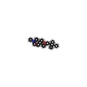 c1ccc(-c2c3ccccc3c(-c3ccc4oc5c(-c6c7ccccc7c(-c7cccc8c7c7ccccc7n8-c7ccccc7)c7ccccc67)cccc5c4c3)c3ccccc23)cc1